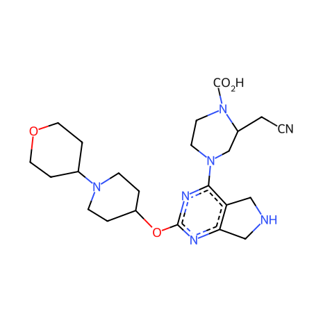 N#CCC1CN(c2nc(OC3CCN(C4CCOCC4)CC3)nc3c2CNC3)CCN1C(=O)O